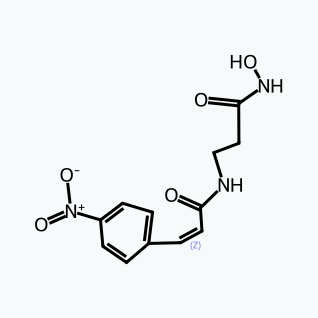 O=C(/C=C\c1ccc([N+](=O)[O-])cc1)NCCC(=O)NO